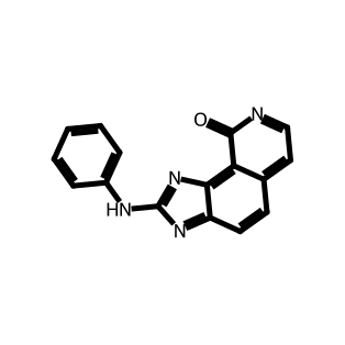 O=C1N=CC=c2ccc3c(c21)N=C(Nc1ccccc1)N=3